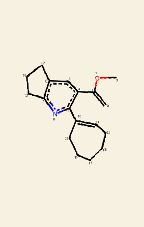 C=C(OC)c1cc2c(nc1C1=CCCCCC1)CCC2